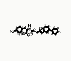 O=C(N[C@H](Cc1ccc(Br)cc1)C(=O)O)OCc1cc2cc(-c3ccccc3)ccc2o1